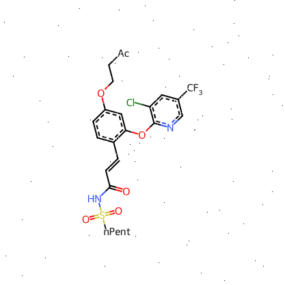 CCCCCS(=O)(=O)NC(=O)C=Cc1ccc(OCCC(C)=O)cc1Oc1ncc(C(F)(F)F)cc1Cl